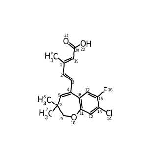 CC(C=CC1=CC(C)(C)COc2cc(Cl)c(F)cc21)=CC(=O)O